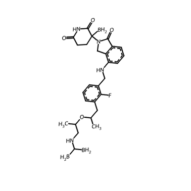 BC(B)NCC(C)OC(C)Cc1cccc(CNc2cccc3c2CN(C2(B)CCC(=O)NC2=O)C3=O)c1F